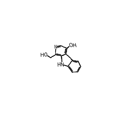 OCc1ncc(O)c2c1[nH]c1ccccc12